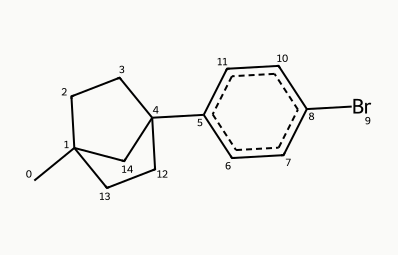 CC12CCC(c3ccc(Br)cc3)(CC1)C2